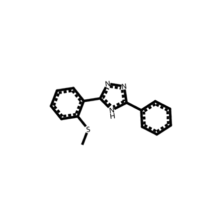 CSc1ccccc1-c1nnc(-c2ccccc2)[nH]1